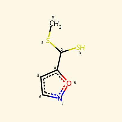 CSC(S)c1ccno1